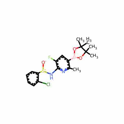 Cc1nc(N[S+]([O-])c2ccccc2Cl)c(F)cc1B1OC(C)(C)C(C)(C)O1